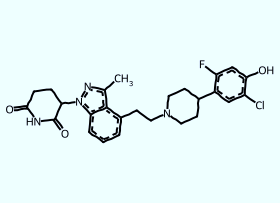 Cc1nn(C2CCC(=O)NC2=O)c2cccc(CCN3CCC(c4cc(Cl)c(O)cc4F)CC3)c12